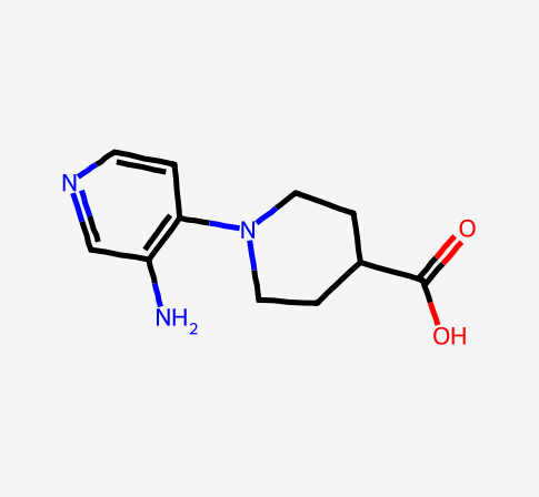 Nc1cnccc1N1CCC(C(=O)O)CC1